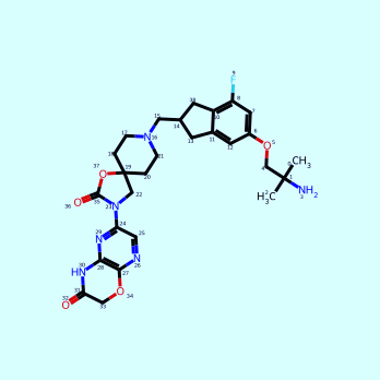 CC(C)(N)COc1cc(F)c2c(c1)CC(CN1CCC3(CC1)CN(c1cnc4c(n1)NC(=O)CO4)C(=O)O3)C2